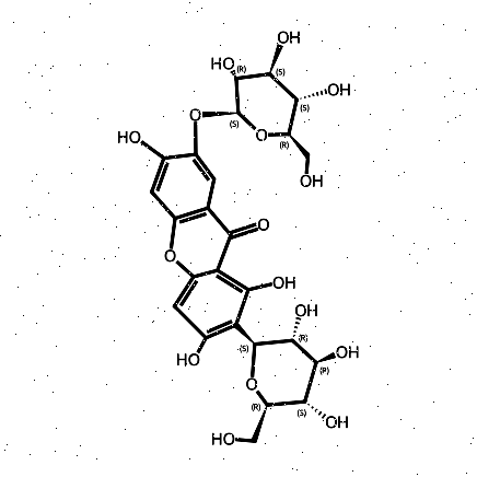 O=c1c2cc(O[C@@H]3O[C@H](CO)[C@@H](O)[C@H](O)[C@H]3O)c(O)cc2oc2cc(O)c([C@@H]3O[C@H](CO)[C@@H](O)[C@H](O)[C@H]3O)c(O)c12